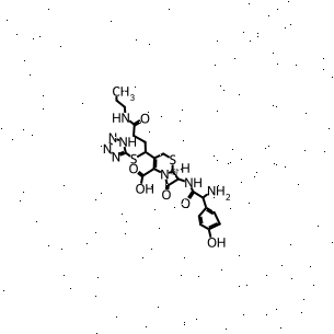 CCCNC(=O)CCC(Sc1nnn[nH]1)C1=C(C(=O)O)N2C(=O)C(NC(=O)C(N)c3ccc(O)cc3)[C@@H]2SC1